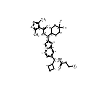 Cc1noc(C)c1C(=O)N[C@H](c1cn2ncc([C@H](NC(=O)CCC(F)(F)F)C3CCC3)cc2n1)C1CCC(F)(F)CC1